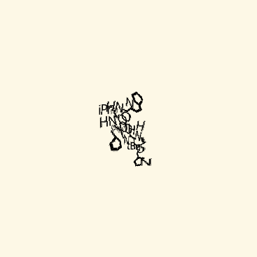 CC(C)[C@H](NC(=O)c1ccc2ccccc2n1)C(=O)N[C@@H](Cc1ccccc1)[C@H](O)CN(C(=O)C1C[C@H](OCc2cccnc2)CCN1)C(C)(C)C